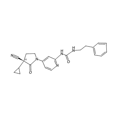 N#C[C@@]1(C2CC2)CCN(c2ccnc(NC(=O)NCCc3ccccc3)c2)C1=O